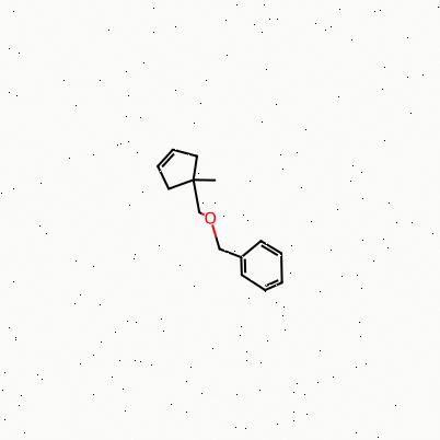 CC1(COCc2ccccc2)CC=CC1